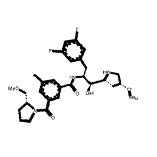 CCCCO[C@H]1CN[C@@H]([C@@H](O)[C@H](Cc2cc(F)cc(F)c2)NC(=O)c2cc(C)cc(C(=O)N3CCC[C@@H]3COC)c2)C1